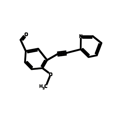 COc1ccc(C=O)cc1C#Cc1ccccn1